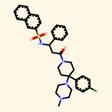 CN1CCN(C2(c3ccc(F)cc3)CCN(C(=O)CC(NS(=O)(=O)c3ccc4ccccc4c3)c3ccccc3)CC2)CC1